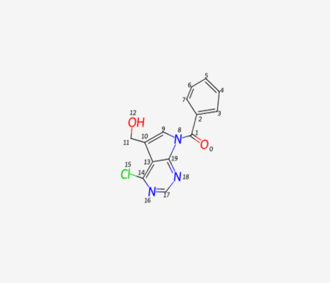 O=C(c1ccccc1)n1cc(CO)c2c(Cl)ncnc21